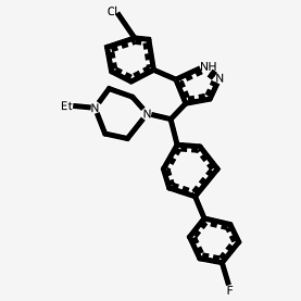 CCN1CCN(C(c2ccc(-c3ccc(F)cc3)cc2)c2cn[nH]c2-c2cccc(Cl)c2)CC1